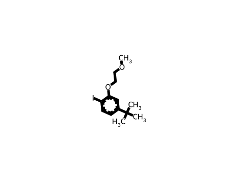 COCCOc1cc(C(C)(C)C)ccc1I